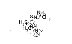 COc1cc(C(=O)N2CCC(OC)C(N)C2)cc2nc(-c3cc4cccnc4n3CC3CC3)n(C)c12